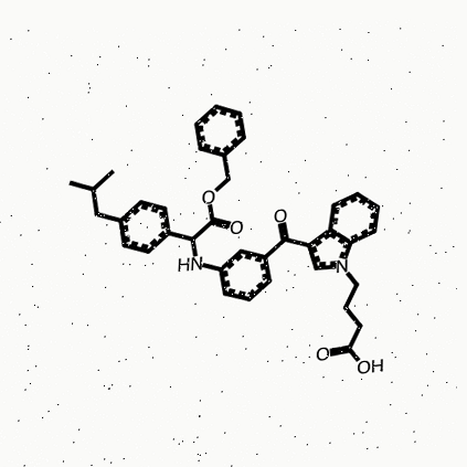 CC(C)Cc1ccc(C(Nc2cccc(C(=O)c3cn(CCCC(=O)O)c4ccccc34)c2)C(=O)OCc2ccccc2)cc1